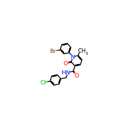 Cc1ccc(C(=O)NCc2ccc(Cl)cc2)c(=O)n1-c1cccc(Br)c1